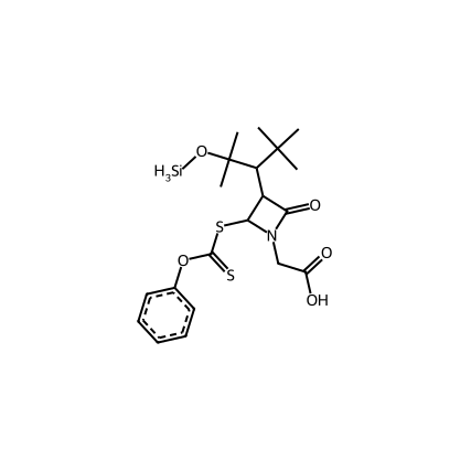 CC(C)(C)C(C1C(=O)N(CC(=O)O)C1SC(=S)Oc1ccccc1)C(C)(C)O[SiH3]